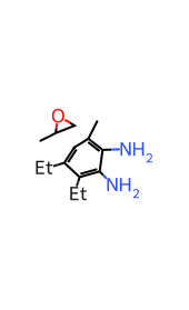 CC1CO1.CCc1cc(C)c(N)c(N)c1CC